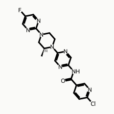 C[C@H]1CN(c2ncc(F)cn2)CCN1c1cnc(NC(=O)c2ccc(Cl)nc2)cn1